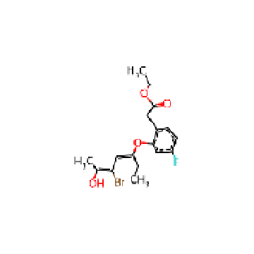 CCOC(=O)Cc1ccc(F)cc1O/C(=C/C(Br)=C(\C)O)CC